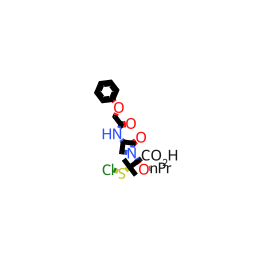 CCCOC(C(=O)O)(N1CC(NC(=O)COc2ccccc2)C1=O)C(C)(C)SCl